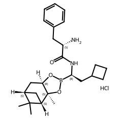 CC1(C)[C@@H]2C[C@H]3OB([C@H](CC4CCC4)NC(=O)[C@@H](N)Cc4ccccc4)O[C@@]3(C)[C@H]1C2.Cl